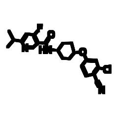 CC(C)c1cc(F)c(C(=O)N[C@H]2CC[C@H](Oc3ccc(C#N)c(Cl)c3)CC2)cn1